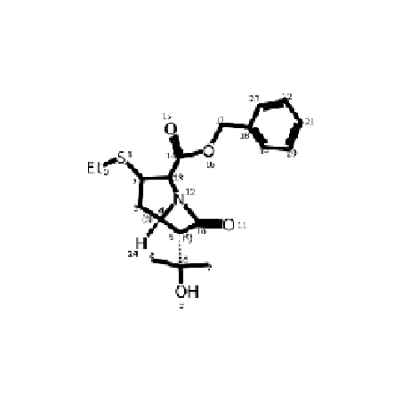 CCSC1C[C@H]2[C@@H](C(C)(C)O)C(=O)N2C1C(=O)OCc1ccccc1